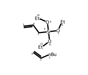 C=CCCCC.C=CC[Si](OCC)(OCC)OCC